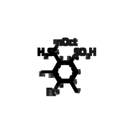 CCCCCCCC[SiH2]c1c(S(=O)(=O)O)cc(C)c(CC)c1C